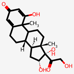 CC12C(O)=CC(=O)C=C1CC[C@@H]1C2CC[C@@]2(C)[C@H]1C[C@@H](O)[C@]2(O)C(=O)CO